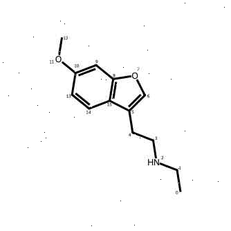 CCNCCc1coc2cc(OC)ccc12